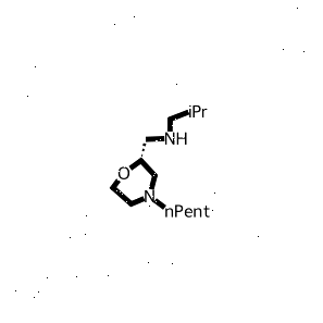 CCCCCN1CCO[C@H](CNCC(C)C)C1